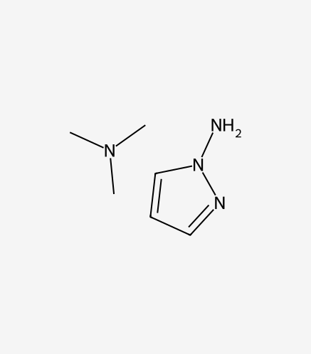 CN(C)C.Nn1cccn1